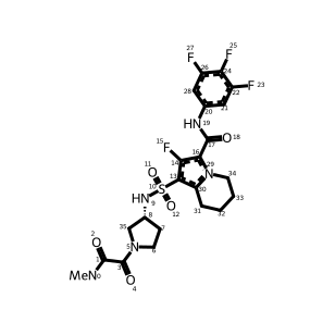 CNC(=O)C(=O)N1CC[C@@H](NS(=O)(=O)c2c(F)c(C(=O)Nc3cc(F)c(F)c(F)c3)n3c2CCCC3)C1